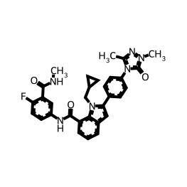 CNC(=O)c1cc(NC(=O)c2cccc3cc(-c4ccc(-n5c(C)nn(C)c5=O)cc4)n(CC4CC4)c23)ccc1F